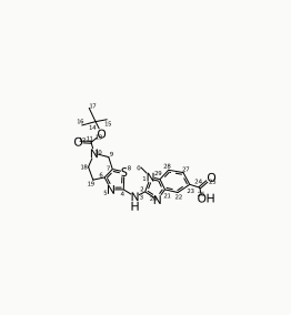 Cn1c(Nc2nc3c(s2)CN(C(=O)OC(C)(C)C)CC3)nc2cc(C(=O)O)ccc21